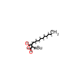 C=CCCCCCCCCCC1C(=O)OC(=O)C1CCCC